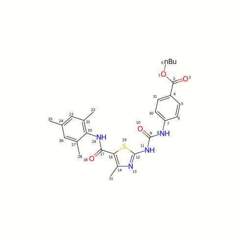 CCCCOC(=O)c1ccc(NC(=O)Nc2nc(C)c(C(=O)Nc3c(C)cc(C)cc3C)s2)cc1